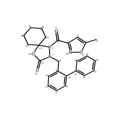 Cc1cc(C(=O)N2N(Cc3ccccc3-c3ccccc3)C(=O)OC23CCCCC3)no1